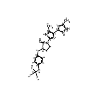 Cc1nc(-c2sc(N3CCN(Cc4ccc(OC(F)(F)F)cc4)C3=O)nc2C)n[nH]1